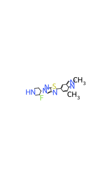 Cc1cc(-c2nc3cn([C@H]4CCNC[C@@H]4F)nc3s2)cc2cn(C)nc12